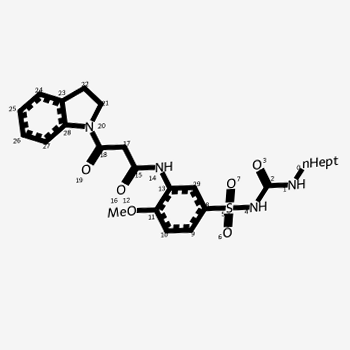 CCCCCCCNC(=O)NS(=O)(=O)c1ccc(OC)c(NC(=O)CC(=O)N2CCc3ccccc32)c1